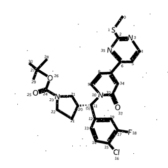 CSc1nccc(-c2ccn([C@H](c3ccc(Cl)c(F)c3)C3CCN(C(=O)OC(C)(C)C)C3)c(=O)c2)n1